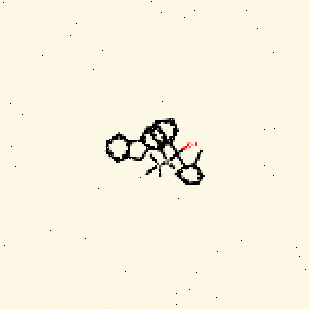 Cc1ccccc1C(O)(c1ccccc1)[Si](C)(c1cccc2c1Cc1ccccc1-2)[Si](C)(C)C